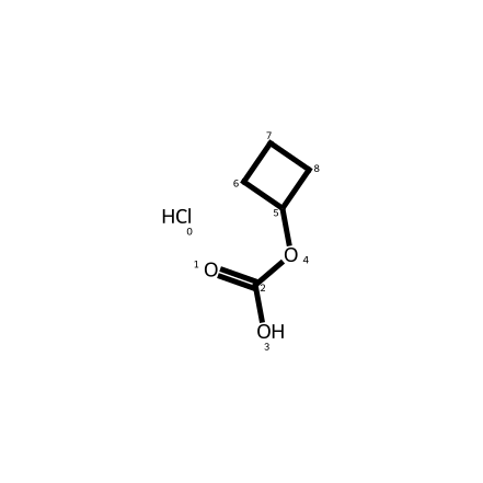 Cl.O=C(O)OC1CCC1